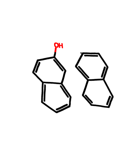 Oc1ccc2ccccc2c1.[c]1ccc2ccccc2c1